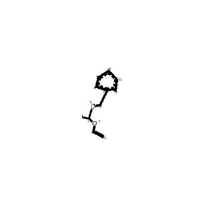 C=COC(C)OCc1ccccc1